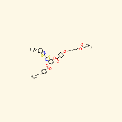 C=CC(=O)OCCCCCCOc1ccc(C(=O)Oc2ccc(OC(=O)c3ccc(CCC)cc3)c3nc(-c4nc5ccc(C)cc5s4)sc23)cc1